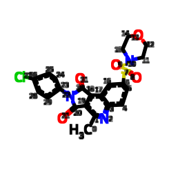 Cc1nc2ccc(S(=O)(=O)N3CCOCC3)cc2c2c1C(=O)N(c1ccc(Cl)cc1)C2=O